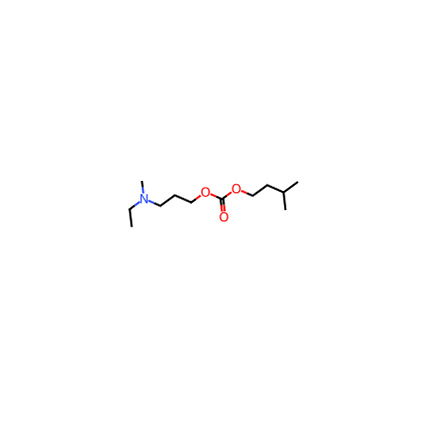 CCN(C)CCCOC(=O)OCCC(C)C